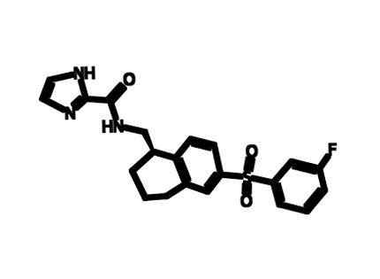 O=C(NC[C@@H]1CCCc2cc(S(=O)(=O)c3cccc(F)c3)ccc21)c1ncc[nH]1